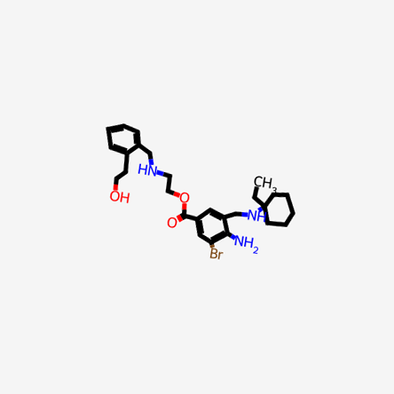 CCC1(NCc2cc(C(=O)OCCNCc3ccccc3CCO)cc(Br)c2N)CCCCC1